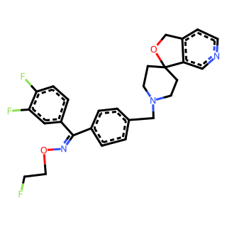 FCCO/N=C(/c1ccc(CN2CCC3(CC2)OCc2ccncc23)cc1)c1ccc(F)c(F)c1